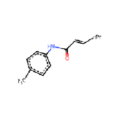 CCCC=CC(=O)Nc1ccc(C(F)(F)F)cc1